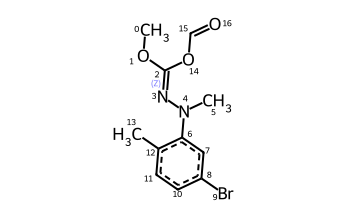 CO/C(=N/N(C)c1cc(Br)ccc1C)OC=O